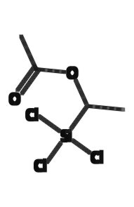 CC(=O)OC(C)[Si](Cl)(Cl)Cl